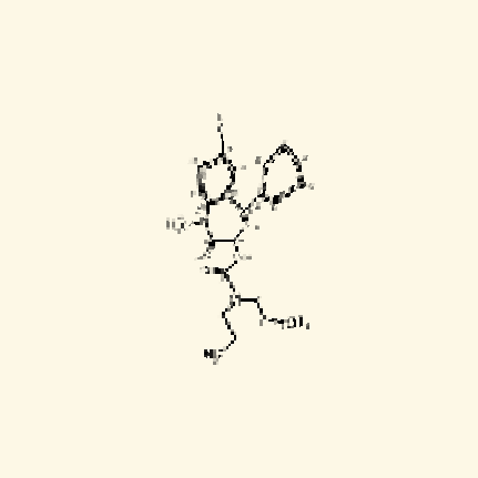 CCCN(CCC)C(=S)NC1N=C(c2ccccc2)c2cc(Cl)ccc2N(C)C1=O